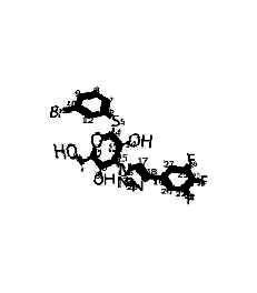 OC[C@H]1O[C@H](Sc2cccc(Br)c2)[C@H](O)[C@@H](n2cc(-c3cc(F)c(F)c(F)c3)nn2)[C@H]1O